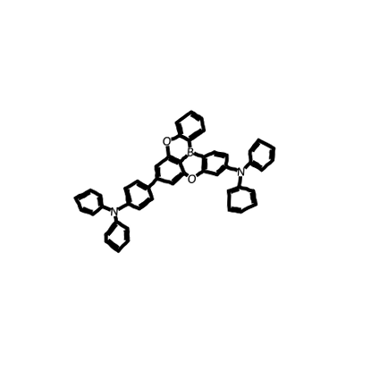 c1ccc(N(c2ccccc2)c2ccc(-c3cc4c5c(c3)Oc3cc(N(c6ccccc6)c6ccccc6)ccc3B5c3ccccc3O4)cc2)cc1